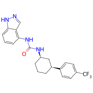 O=C(Nc1cccc2[nH]ncc12)N[C@@H]1CCC[C@H](c2ccc(C(F)(F)F)cc2)C1